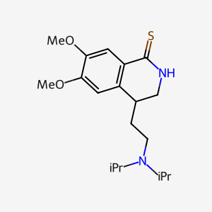 COc1cc2c(cc1OC)C(CCN(C(C)C)C(C)C)CNC2=S